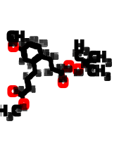 COC(=O)C=CCc1cc(OC)ccc1CCC(=O)OOC(C)(C)C